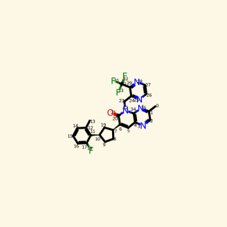 Cc1cnc2cc([C@H]3CC[C@@H](c4c(C)cccc4F)C3)c(=O)n(Cc3nccnc3C(F)(F)F)c2n1